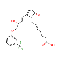 O=C(O)CCCC=CC[C@H]1C(=O)CC=C1/C=C/[C@@H](O)COc1cccc(C(F)(F)F)c1